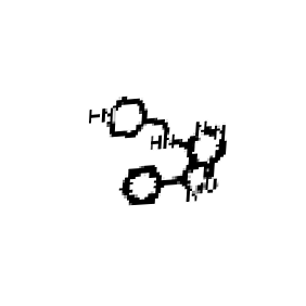 c1ccc(-c2noc3cnnc(NCC4CCNCC4)c23)cc1